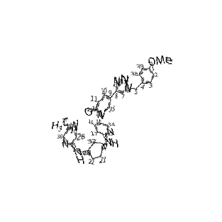 COc1ccc(Cn2cc(-c3ccc(=O)n(-c4ccc(N[C@H]5CC[C@H](Nc6cnc(C)cn6)C5)nc4)c3)nn2)cc1